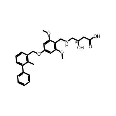 COc1cc(OCc2cccc(-c3ccccc3)c2C)cc(OC)c1CNC[C@H](O)CC(=O)O